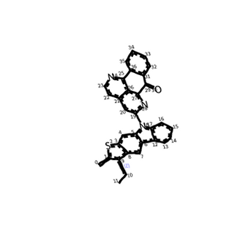 C=c1sc2cc3c(cc2/c1=C/C)c1ccccc1n3-c1cc2ccnc3c2c(n1)C(=O)c1ccccc1-3